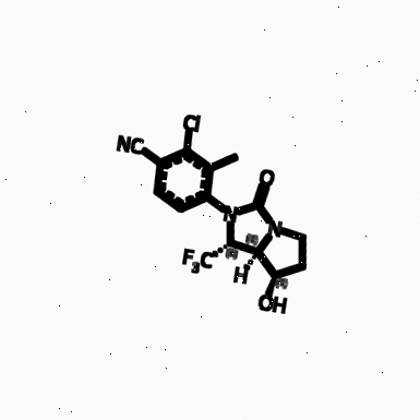 Cc1c(N2C(=O)N3CC[C@@H](O)[C@H]3[C@@H]2C(F)(F)F)ccc(C#N)c1Cl